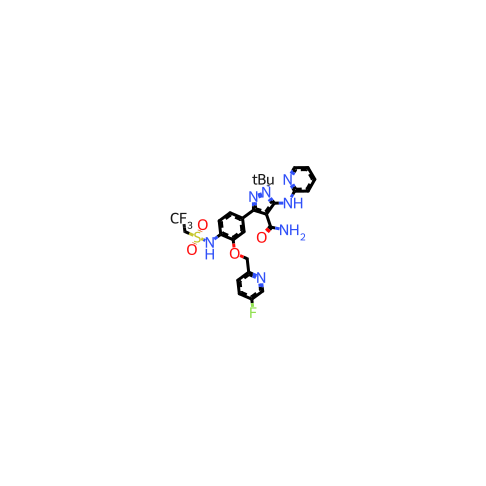 CC(C)(C)n1nc(-c2ccc(NS(=O)(=O)CC(F)(F)F)c(OCc3ccc(F)cn3)c2)c(C(N)=O)c1Nc1ccccn1